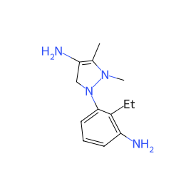 CCc1c(N)cccc1N1CC(N)=C(C)N1C